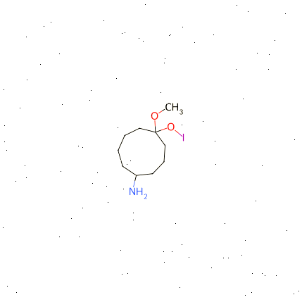 COC1(OI)CCCCC(N)CCC1